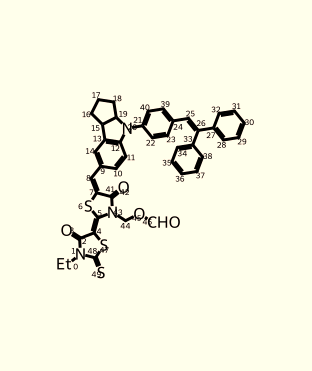 CCN1C(=O)/C(=c2\s/c(=C/c3ccc4c(c3)C3CCCC3N4c3ccc(C=C(c4ccccc4)c4ccccc4)cc3)c(=O)n2COC=O)SC1=S